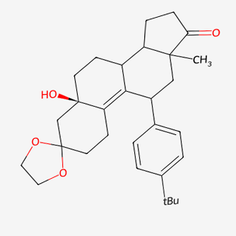 CC(C)(C)c1ccc(C2CC3(C)C(=O)CCC3C3CC[C@@]4(O)CC5(CCC4=C23)OCCO5)cc1